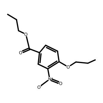 CCCOC(=O)c1ccc(OCCC)c([N+](=O)[O-])c1